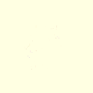 C=Cc1c(C)nn(C)c1Oc1cc(O[C@@H](C)C(=O)N(C)C)c(Cl)cc1Cl